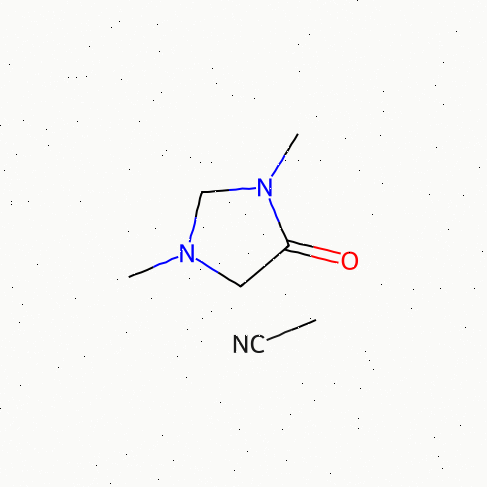 CC#N.CN1CC(=O)N(C)C1